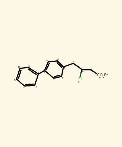 CCOC(=O)CC(Cl)Cc1ccc(-c2ccccc2)cc1